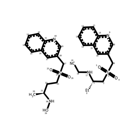 CC[C@@H](CS(=O)(=O)Cc1cnc2ccccc2c1)NCC#N.C[C@@H](CCS(=O)(=O)Cc1cnc2ccccc2c1)NO